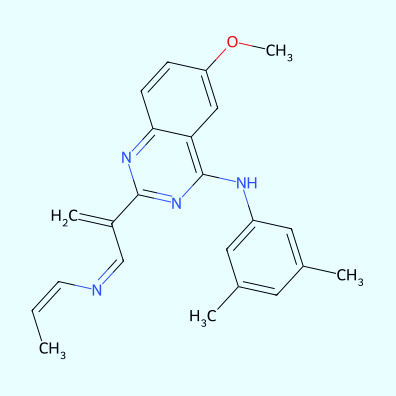 C=C(/C=N\C=C/C)c1nc(Nc2cc(C)cc(C)c2)c2cc(OC)ccc2n1